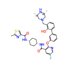 Cc1nc(C(=O)N[C@H]2CC[C@@H](NC(=O)c3cc(F)cnc3Oc3cccc(-c4cccc(CN5C[C@@H](C)N[C@@H](C)C5)c4O)c3)CC2)cs1